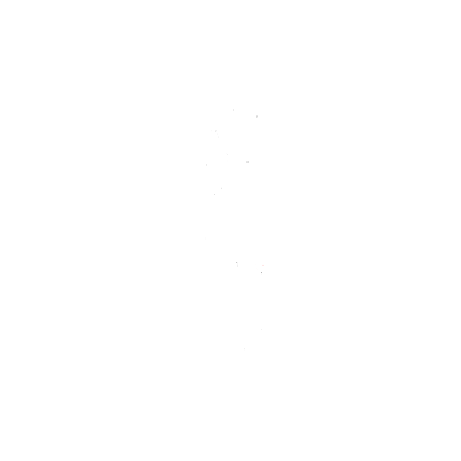 O=C(c1ccccc1)C(O)c1ccc(Oc2ccccc2)cc1